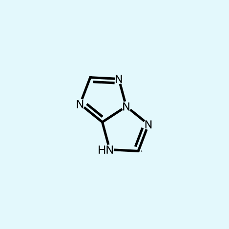 [c]1nn2ncnc2[nH]1